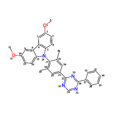 COc1ccc2c(c1)c1cc(OC)ccc1n2-c1c(C)cc(-c2ncnc(-c3ccccc3)n2)cc1C